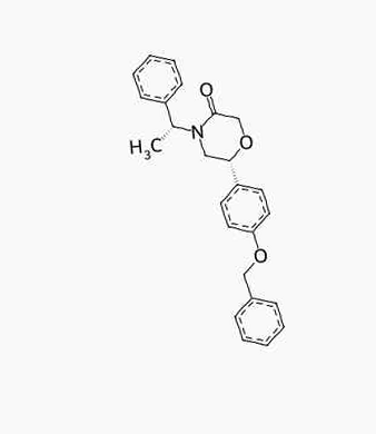 C[C@H](c1ccccc1)N1C[C@@H](c2ccc(OCc3ccccc3)cc2)OCC1=O